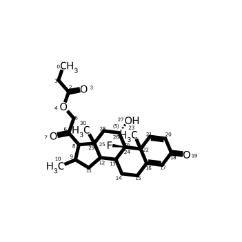 CCC(=O)OCC(=O)C1C(C)CC2C3CCC4=CC(=O)C=CC4(C)[C@@]3(F)[C@@H](O)CC21C